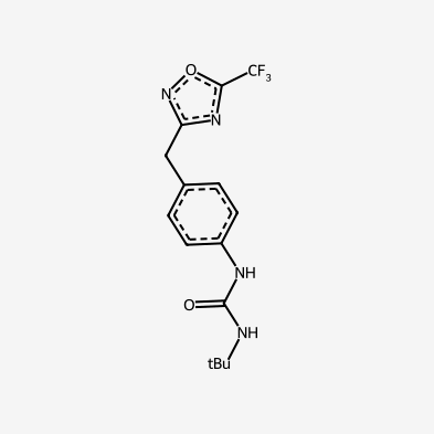 CC(C)(C)NC(=O)Nc1ccc(Cc2noc(C(F)(F)F)n2)cc1